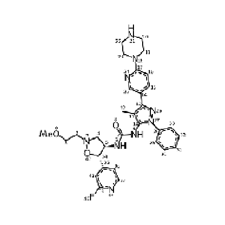 COCCN1C[C@@H](NC(=O)Nc2c(C)c(-c3ccc(N4CCNCC4)nc3)nn2-c2ccccc2)[C@H](c2ccnc(F)c2)O1